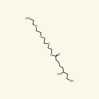 O=C(CCCCC(S)CCS)OCCOCCOCCOCCO